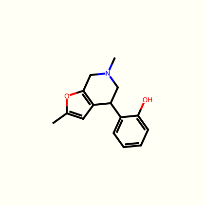 Cc1cc2c(o1)CN(C)CC2c1ccccc1O